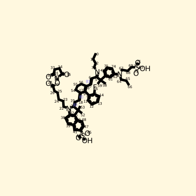 CCCC[N+]1=C(/C=C/C2=C(c3ccccc3F)C(=C/C=C3/N(CCCCCC(=O)ON4C(=O)CCC4=O)c4ccc5cc(S(=O)(=O)O)ccc5c4C3(C)C)/CCC2)C(C)(C)c2cc(N(CCC)CCCS(=O)(=O)O)ccc21